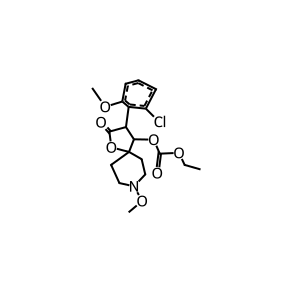 CCOC(=O)OC1C(c2c(Cl)cccc2OC)C(=O)OC12CCN(OC)CC2